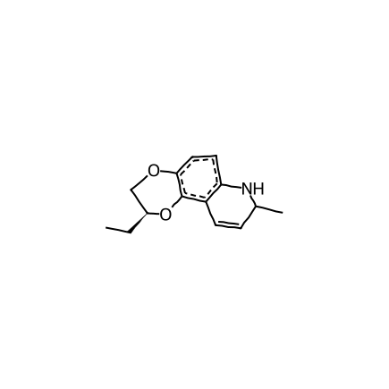 CC[C@H]1COc2ccc3c(c2O1)C=CC(C)N3